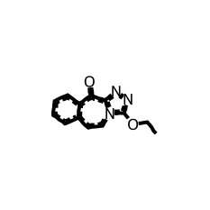 CCOc1nnc2c(=O)c3ccccc3ccn12